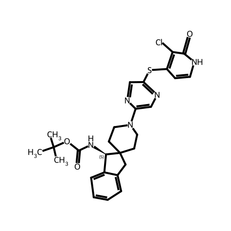 CC(C)(C)OC(=O)N[C@@H]1c2ccccc2CC12CCN(c1cnc(Sc3cc[nH]c(=O)c3Cl)cn1)CC2